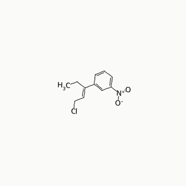 CCC(=CCCl)c1cccc([N+](=O)[O-])c1